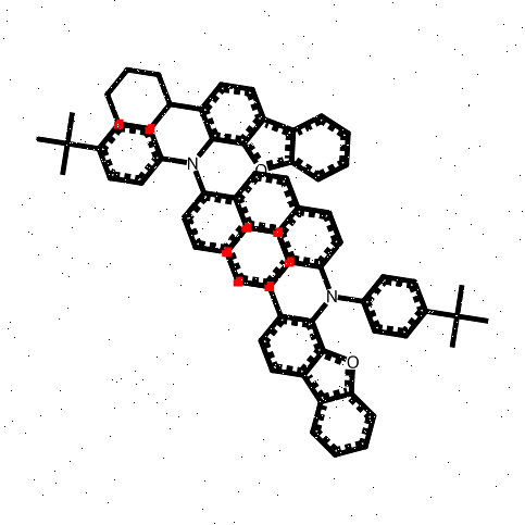 CC(C)(C)c1ccc(N(c2ccc3ccc4c(N(c5ccc(C(C)(C)C)cc5)c5c(C6CCCCC6)ccc6c5oc5ccccc56)ccc5ccc2c3c54)c2c(C3CCCCC3)ccc3c2oc2ccccc23)cc1